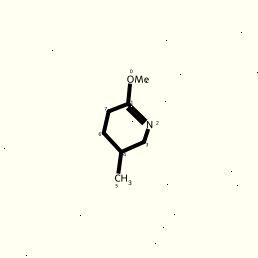 COC1=NCC(C)CC1